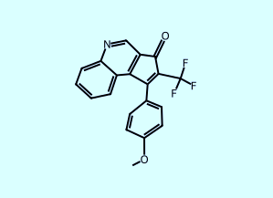 COc1ccc(C2=C(C(F)(F)F)C(=O)c3cnc4ccccc4c32)cc1